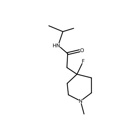 CC(C)NC(=O)CC1(F)CCN(C)CC1